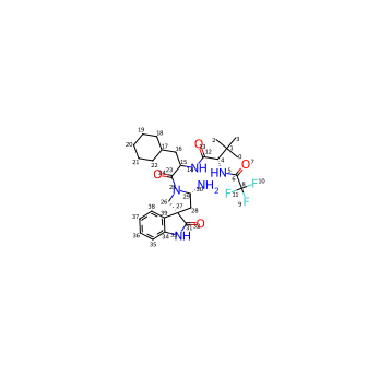 CC(C)(C)[C@H](NC(=O)C(F)(F)F)C(=O)NC(CC1CCCCC1)C(=O)N1C[C@]2(C[C@H]1N)C(=O)Nc1ccccc12